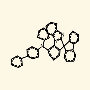 c1ccc(-c2ccc(N(c3ccccc3)c3cccc4c3-n3c(nc5ccccc53)C43c4ccccc4-c4ccccc43)cc2)cc1